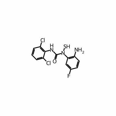 Nc1ccc(F)cc1N(S)C(=O)Nc1c(Cl)cccc1Cl